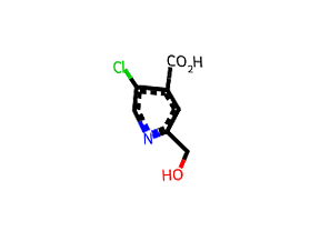 O=C(O)c1cc(CO)ncc1Cl